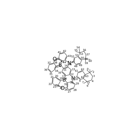 CC1(C)CCC(C)(C)c2cc(N3c4cc5c(cc4B4c6ccccc6Oc6cccc3c64)B3c4ccccc4Oc4cccc(c43)N5c3ccc4c(c3)C(C)(C)CCC4(C)C)ccc21